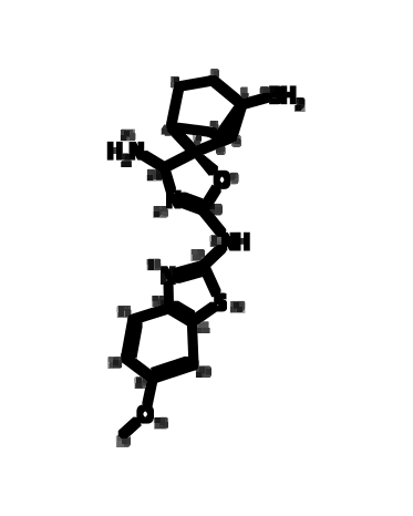 BC12CCC(CC1)[C@@]1(C2)OC(Nc2nc3ccc(OC)cc3s2)=NC1N